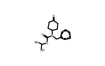 CCCC(OC(=O)N(Cc1ccccc1)C1CCC(=O)CC1)C(C)(C)C